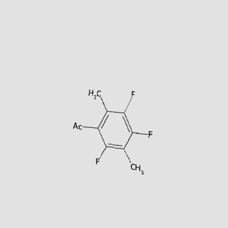 CC(=O)c1c(C)c(F)c(F)c(C)c1F